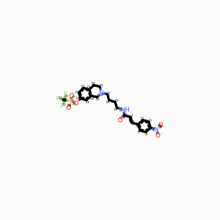 O=C(C=Cc1ccc([N+](=O)[O-])cc1)NCCCCN1CCc2ccc(OS(=O)(=O)C(F)(F)F)cc2C1